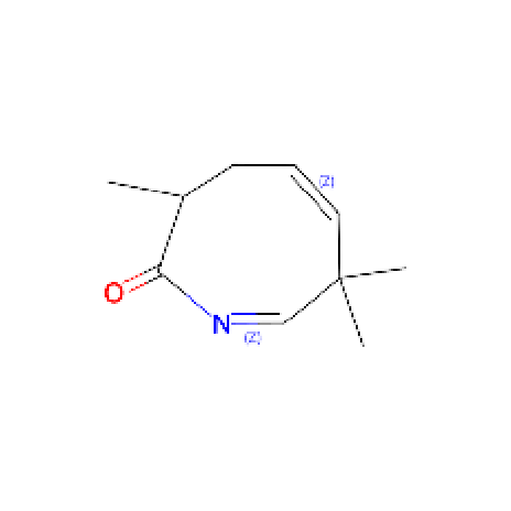 CC1C/C=C\C(C)(C)/C=N\C1=O